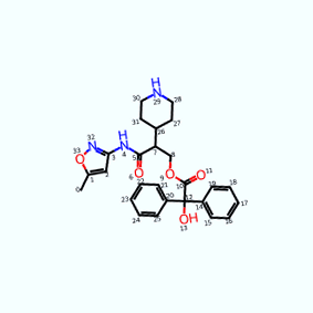 Cc1cc(NC(=O)C(COC(=O)C(O)(c2ccccc2)c2ccccc2)C2CCNCC2)no1